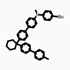 CCC(C)c1ccc(N(C)c2ccc(-c3ccc(C4(c5ccc(-c6ccc(C)cc6)cc5)CCCCC4)cc3)cc2)cc1